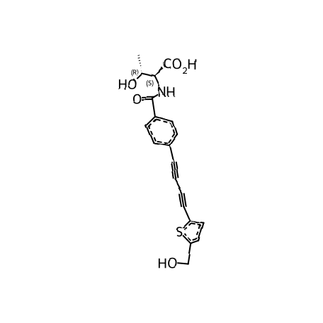 C[C@@H](O)[C@H](NC(=O)c1ccc(C#CC#Cc2ccc(CO)s2)cc1)C(=O)O